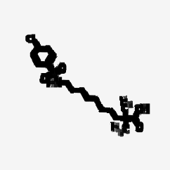 CC(C)(CCCCCCCCNS(=O)(=O)c1ccc(Cl)cc1)C(=O)O